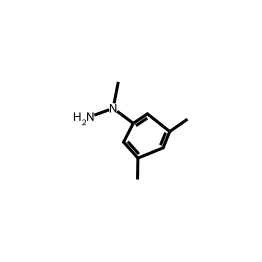 Cc1cc(C)cc(N(C)N)c1